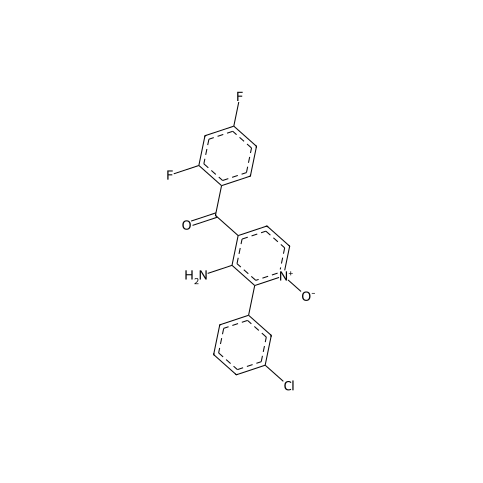 Nc1c(C(=O)c2ccc(F)cc2F)cc[n+]([O-])c1-c1cccc(Cl)c1